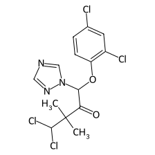 CC(C)(C(=O)C(Oc1ccc(Cl)cc1Cl)n1cncn1)C(Cl)Cl